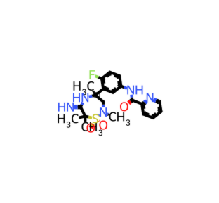 CN1C[C@@](C)(c2cc(NC(=O)c3ccccn3)ccc2F)NC(=N)C(C)(C)S1(=O)=O